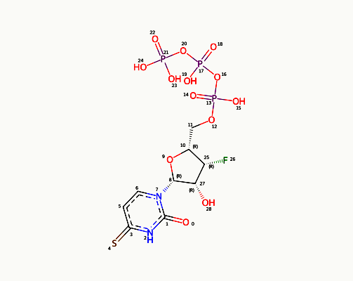 O=c1[nH]c(=S)ccn1[C@@H]1O[C@H](COP(=O)(O)OP(=O)(O)OP(=O)(O)O)[C@H](F)[C@@H]1O